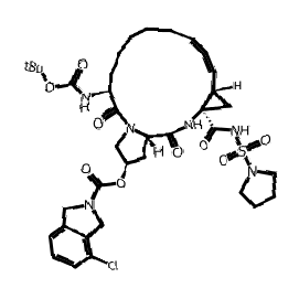 CC(C)(C)OC(=O)N[C@H]1CCCCCC=C=C[C@@H]2C[C@@]2(C(=O)NS(=O)(=O)N2CCCC2)NC(=O)[C@@H]2C[C@@H](OC(=O)N3Cc4cccc(Cl)c4C3)CN2C1=O